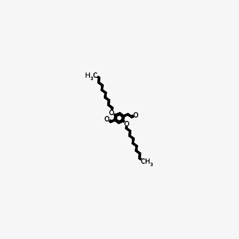 CCCCCCCCCCOc1cc(CC=O)c(OCCCCCCCCCC)cc1C=O